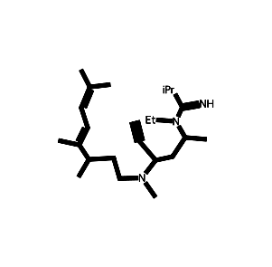 C#CC(CC(C)N(CC)C(=N)C(C)C)N(C)CCC(C)/C(C)=C/C=C(C)C